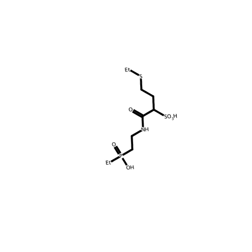 CCSCCC(C(=O)NCCP(=O)(O)CC)S(=O)(=O)O